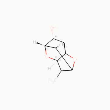 CC1C2OC3C[C@@H](O)[C@@H](O[C@@H]31)C2C